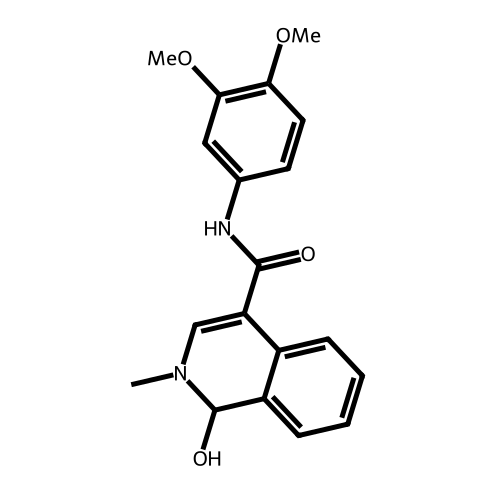 COc1ccc(NC(=O)C2=CN(C)C(O)c3ccccc32)cc1OC